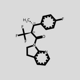 C[C@H](c1ccc(F)cc1)[C@@H](C(=O)N1CCc2cccnc21)C(F)(F)F